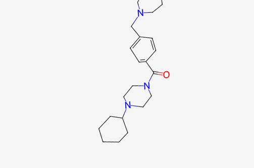 O=C(c1ccc(CN2CCCCC2)cc1)N1CCN(C2CCCCC2)CC1